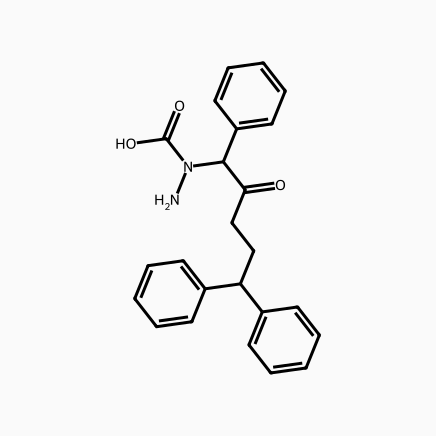 NN(C(=O)O)C(C(=O)CCC(c1ccccc1)c1ccccc1)c1ccccc1